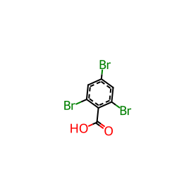 O=C(O)c1c(Br)cc(Br)cc1Br